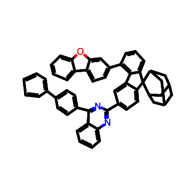 c1ccc(-c2ccc(-c3nc(-c4ccc5c(c4)-c4c(-c6ccc7c(c6)oc6ccccc67)cccc4C54C5CC6CC(C5)CC4C6)nc4ccccc34)cc2)cc1